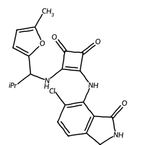 Cc1ccc(C(Nc2c(Nc3c(Cl)ccc4c3C(=O)NC4)c(=O)c2=O)C(C)C)o1